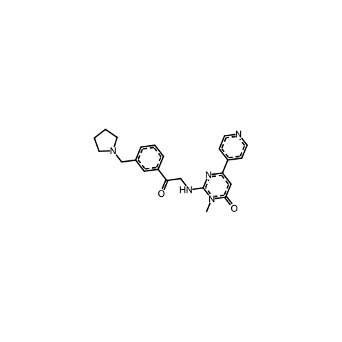 Cn1c(NCC(=O)c2cccc(CN3CCCC3)c2)nc(-c2ccncc2)cc1=O